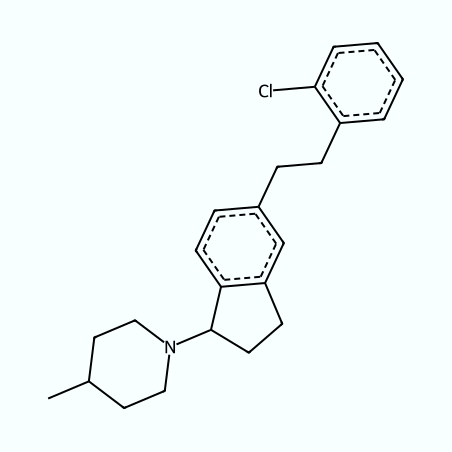 CC1CCN(C2CCc3cc(CCc4ccccc4Cl)ccc32)CC1